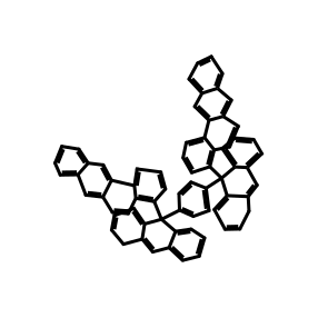 C1=CCC2=Cc3ccccc3C(c3ccc(C4(c5cccc6c5ccc5cc7ccccc7cc56)C5=CC=CCC5=Cc5ccccc54)cc3)(c3cccc4c3ccc3cc5ccccc5cc34)C2=C1